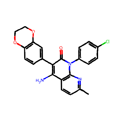 Cc1ccc2c(N)c(-c3ccc4c(c3)OCCO4)c(=O)n(-c3ccc(Cl)cc3)c2n1